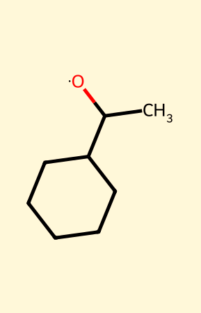 CC([O])C1CCCCC1